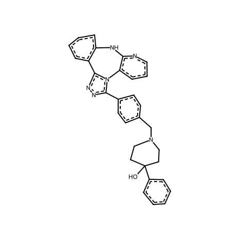 OC1(c2ccccc2)CCN(Cc2ccc(-c3nnc4n3-c3cccnc3Nc3ccccc3-4)cc2)CC1